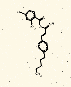 CCCCCc1ccc(/C=C/C(=N)OC(=O)c2ccc(Cl)cc2N)cc1